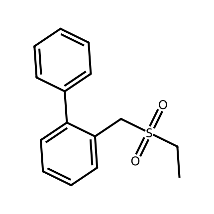 CCS(=O)(=O)Cc1ccccc1-c1ccccc1